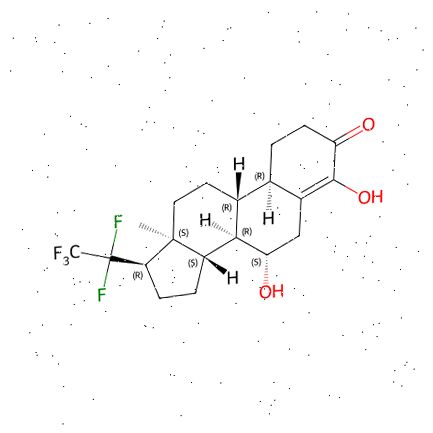 C[C@]12CC[C@H]3[C@@H]([C@@H](O)CC4=C(O)C(=O)CC[C@@H]43)[C@@H]1CC[C@H]2C(F)(F)C(F)(F)F